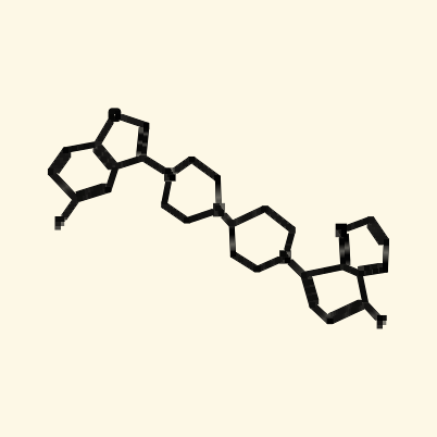 Fc1ccc2occ(N3CCN(C4CCN(c5ccc(F)c6cccnc56)CC4)CC3)c2c1